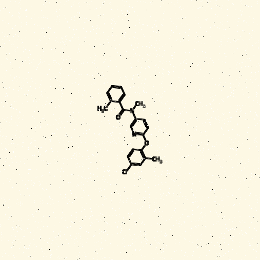 Cc1cc(Cl)ccc1Oc1ccc(N(C)C(=O)c2ccccc2C)cn1